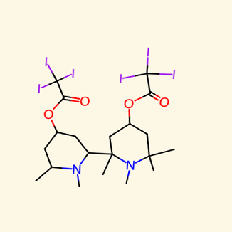 CC1CC(OC(=O)C(I)(I)I)CC(C2(C)CC(OC(=O)C(I)(I)I)CC(C)(C)N2C)N1C